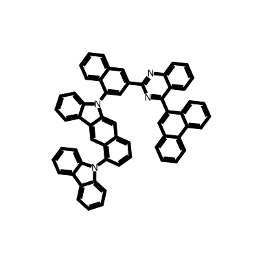 c1ccc2c(-n3c4ccccc4c4cc5c(-n6c7ccccc7c7ccccc76)cccc5cc43)cc(-c3nc(-c4cc5ccccc5c5ccccc45)c4ccccc4n3)cc2c1